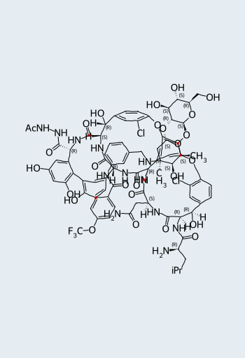 CC(=O)NNC(=O)[C@@H]1NC(=O)[C@H]2NC(=O)[C@H](NC(=O)[C@@H]3NC(=O)[C@H](CC(N)=O)NC(=O)[C@H](NC(=O)[C@H](N)CC(C)C)[C@H](O)c4ccc(c(Cl)c4)Oc4cc3cc(c4O[C@@H]3O[C@H](CO)[C@@H](O)[C@H](O)[C@H]3O[C@H]3C[C@](C)(NCc4cccc(NC(=O)c5ccc(OC(F)(F)F)cc5)c4)[C@H](O)[C@H](C)O3)Oc3ccc(cc3Cl)[C@H]2O)c2ccc(O)c(c2)-c2c(O)cc(O)cc21